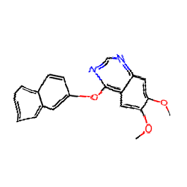 COc1cc2ncnc(Oc3ccc4ccccc4c3)c2cc1OC